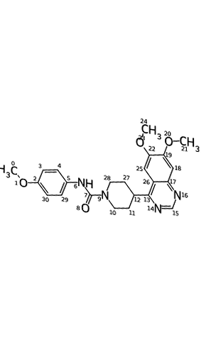 COc1ccc(NC(=O)N2CCC(c3ncnc4cc(OC)c(OC)cc34)CC2)cc1